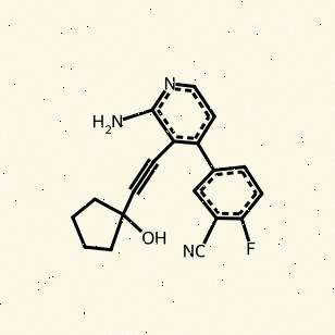 N#Cc1cc(-c2ccnc(N)c2C#CC2(O)CCCC2)ccc1F